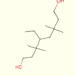 CCC(CC(C)(C)CCO)C(C)(C)CCO